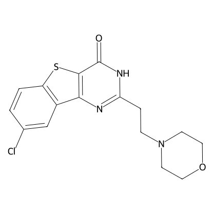 O=c1[nH]c(CCN2CCOCC2)nc2c1sc1ccc(Cl)cc12